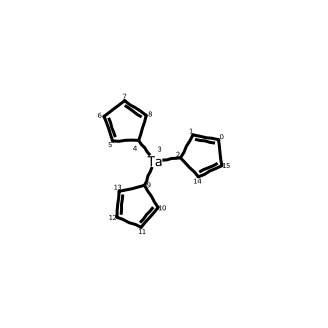 C1=C[CH]([Ta]([CH]2C=CC=C2)[CH]2C=CC=C2)C=C1